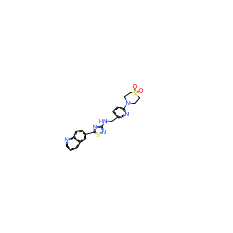 O=S1(=O)CCN(c2ccc(CNc3nsc(-c4ccc5ncccc5c4)n3)cn2)CC1